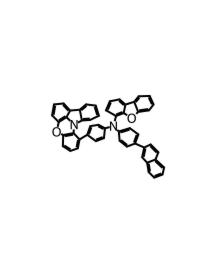 c1cc2c(c(-c3ccc(N(c4ccc(-c5ccc6ccccc6c5)cc4)c4cccc5c4oc4ccccc45)cc3)c1)-n1c3ccccc3c3cccc(c31)O2